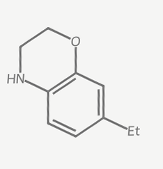 CCc1ccc2c(c1)OCCN2